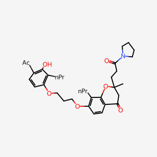 CCCc1c(OCCCOc2ccc3c(c2CCC)OC(C)(CCC(=O)N2CCCC2)CC3=O)ccc(C(C)=O)c1O